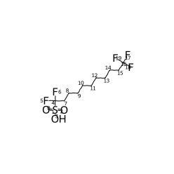 O=S(=O)(O)C(F)(F)CCCCCCCCCC(F)(F)F